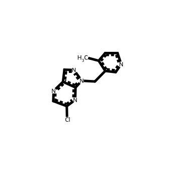 Cc1ccncc1Cn1ncc2ncc(Cl)nc21